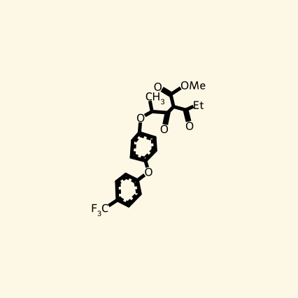 CCC(=O)C(C(=O)OC)C(=O)C(C)Oc1ccc(Oc2ccc(C(F)(F)F)cc2)cc1